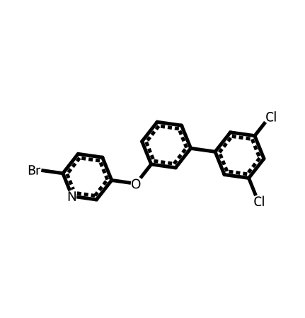 Clc1cc(Cl)cc(-c2cccc(Oc3ccc(Br)nc3)c2)c1